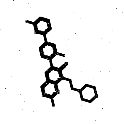 Cc1cccc(-c2ccc(-c3cc4cnc(C)nc4n(CCN4CCOCC4)c3=O)c(C)c2)n1